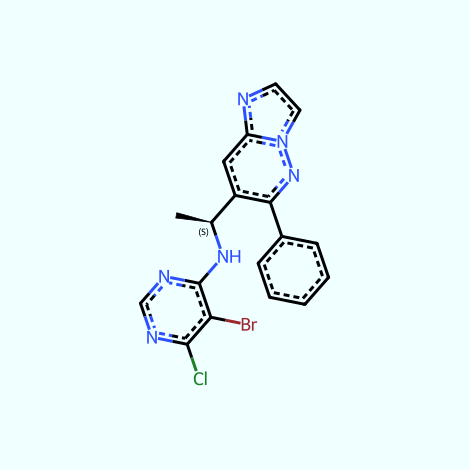 C[C@H](Nc1ncnc(Cl)c1Br)c1cc2nccn2nc1-c1ccccc1